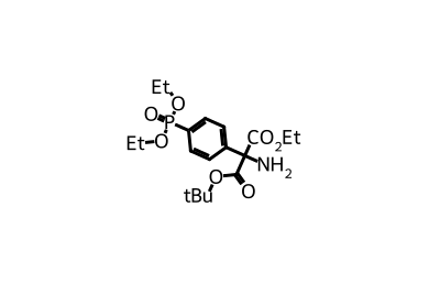 CCOC(=O)C(N)(C(=O)OC(C)(C)C)c1ccc(P(=O)(OCC)OCC)cc1